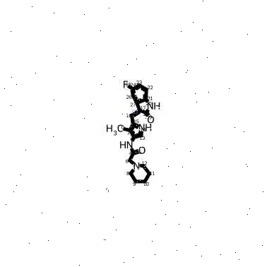 Cc1c(NC(=O)CN2CCCCC2)c[nH]c1/C=C1\C(=O)Nc2ccc(F)cc21